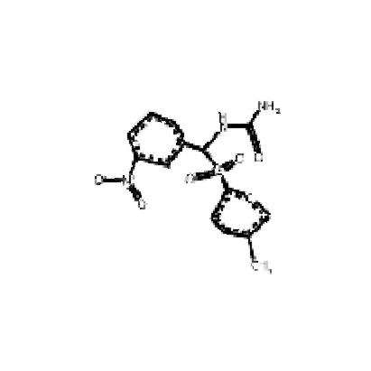 Cc1ccc(S(=O)(=O)C(NC(N)=O)c2cccc([N+](=O)[O-])c2)cc1